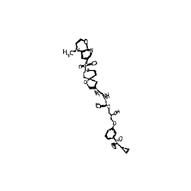 CN1CCOc2ncc(S(=O)(=O)N3CCC4(CC3)C[C@@H](NC(=O)OCC(O)COc3cccc(S(=O)(=O)C5CC5)c3)CO4)cc21